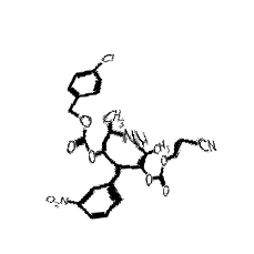 CC1=C(OC(=O)OCCC#N)C(c2cccc([N+](=O)[O-])c2)C(OC(=O)OCc2ccc(Cl)cc2)=C(C)N1